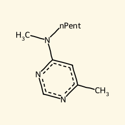 CCCCCN(C)c1cc(C)ncn1